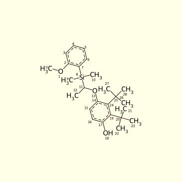 COc1ccccc1[Si](C)(C)C(C)Oc1ccc(O)c(C(C)(C)C)c1C(C)(C)C